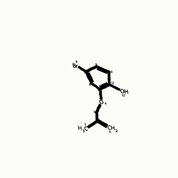 C=C(C)COc1cc(Br)ccc1O